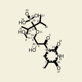 Cc1cn(C(=O)[C@H](O)[C@H](CO)OC(C(C)C)(C(C)C)P(=O)(O)O)c(=O)[nH]c1=O